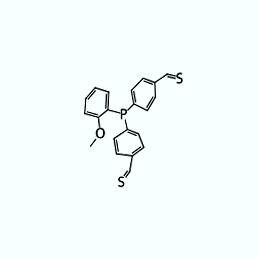 COc1ccccc1P(c1ccc(C=S)cc1)c1ccc(C=S)cc1